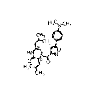 CC(C)C[C@H]1CN(C(=O)c2cc(-c3ccc(N(C)C)cc3)on2)[C@@H](CC(C)C)C(=O)N1